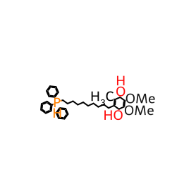 COC1=C(OC)C(O)C(CCCCCCCCCC[PH](c2ccccc2)(c2ccccc2)c2ccccc2)=C(C)C1O